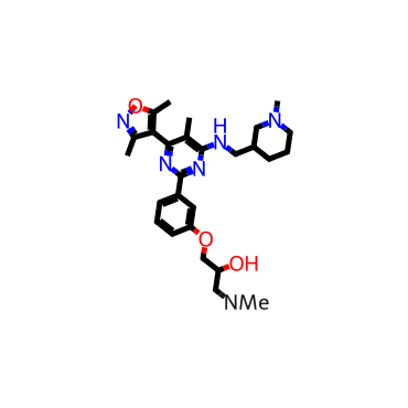 CNCC(O)COc1cccc(-c2nc(NCC3CCCN(C)C3)c(C)c(-c3c(C)noc3C)n2)c1